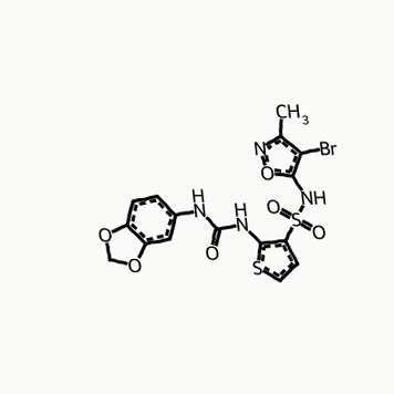 Cc1noc(NS(=O)(=O)c2ccsc2NC(=O)Nc2ccc3c(c2)OCO3)c1Br